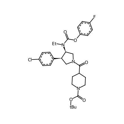 CCN(C(=O)Oc1ccc(F)cc1)[C@H]1CN(C(=O)C2CCN(C(=O)OC(C)(C)C)CC2)C[C@H]1c1ccc(Cl)cc1